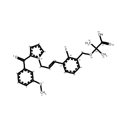 COc1cccc(C(=O)c2cccn2C/C=C/c2cccc(COC(C)(C)C(=O)O)c2F)c1